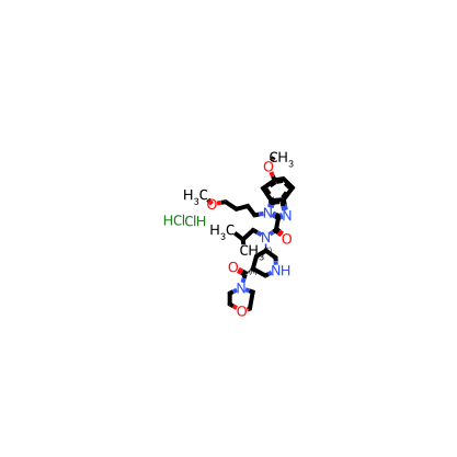 COCCCCn1c(C(=O)N(CC(C)C)[C@@H]2CNC[C@H](C(=O)N3CCOCC3)C2)nc2ccc(OC)cc21.Cl.Cl